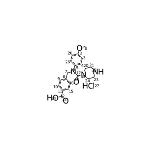 COc1ccc(N(Cc2ccc(C(=O)O)cc2)C(=O)N2CCNCC2)cc1.Cl